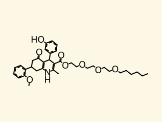 CCCCCCOCCOCCOCCOC(=O)C1=C(C)NC2=C(C(=O)CC(c3ccccc3OC)C2)C1c1cccc(O)c1